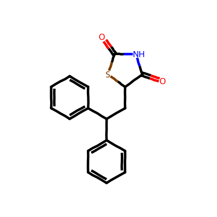 O=C1NC(=O)C(CC(c2ccccc2)c2ccccc2)S1